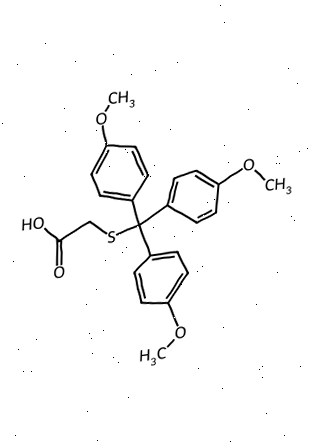 COc1ccc(C(SCC(=O)O)(c2ccc(OC)cc2)c2ccc(OC)cc2)cc1